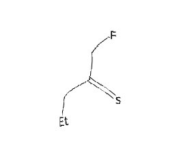 CCCC(=S)CF